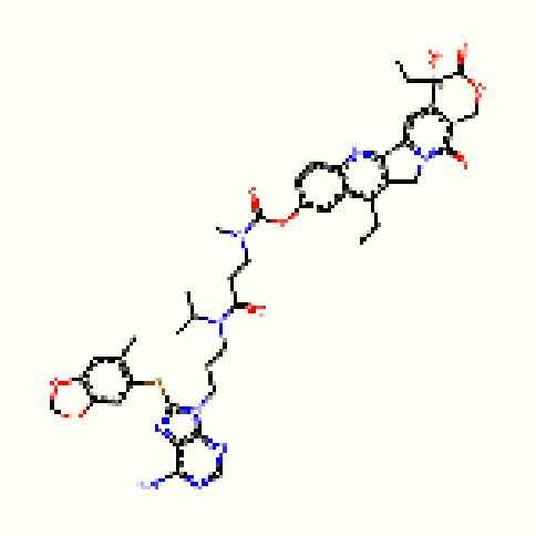 CCc1c2c(nc3ccc(OC(=O)N(C)CCC(=O)N(CCCn4c(Sc5cc6c(cc5C)OCO6)nc5c(N)ncnc54)C(C)C)cc13)-c1cc3c(c(=O)n1C2)COC(=O)[C@]3(O)CC